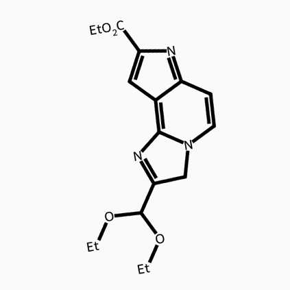 CCOC(=O)c1cc2c3n(ccc-2n1)CC(C(OCC)OCC)=N3